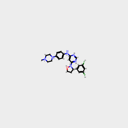 CN1CCN(c2ccc(Nc3cc(N4OCC[C@@H]4c4cc(F)cc(F)c4)ncn3)cc2)CC1